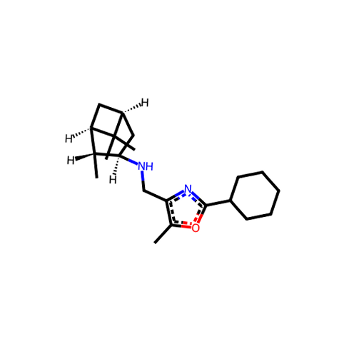 Cc1oc(C2CCCCC2)nc1CN[C@@H]1C[C@@H]2C[C@H]([C@H]1C)C2(C)C